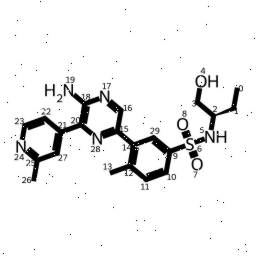 CC[C@H](CO)NS(=O)(=O)c1ccc(C)c(-c2cnc(N)c(-c3ccnc(C)c3)n2)c1